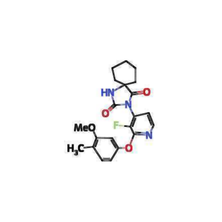 COc1cc(Oc2nccc(N3C(=O)NC4(CCCCC4)C3=O)c2F)ccc1C